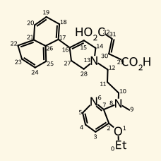 CCOc1cccnc1N(C)CCCN1CC=C(c2cccc3ccccc23)CC1.O=C(O)C=CC(=O)O